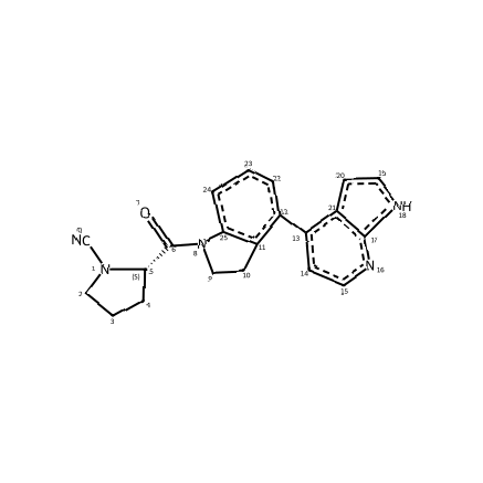 N#CN1CCC[C@H]1C(=O)N1CCc2c(-c3ccnc4[nH]ccc34)cccc21